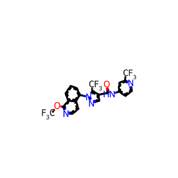 O=C(Nc1ccnc(C(F)(F)F)c1)c1cnn(-c2cccc3c(OC(F)(F)F)nccc23)c1C(F)(F)F